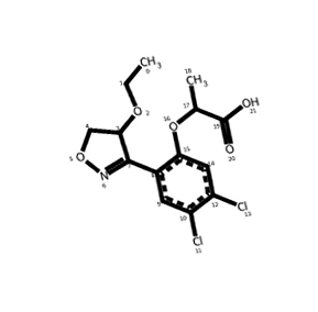 CCOC1CON=C1c1cc(Cl)c(Cl)cc1OC(C)C(=O)O